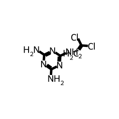 C=C(Cl)Cl.Nc1nc(N)nc(N)n1